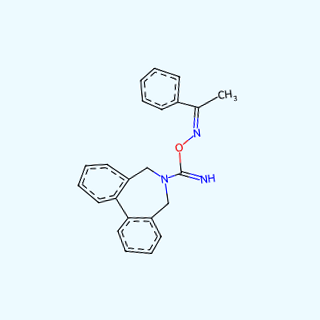 CC(=NOC(=N)N1Cc2ccccc2-c2ccccc2C1)c1ccccc1